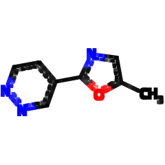 Cc1cnc(-c2ccnnc2)o1